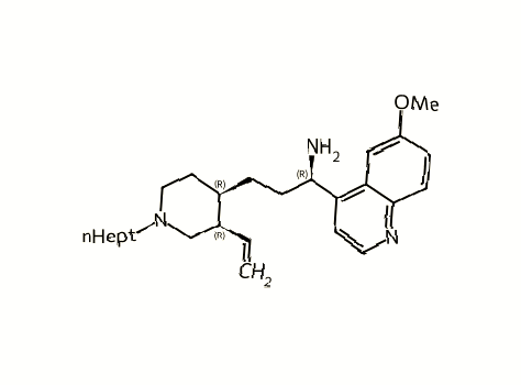 C=C[C@H]1CN(CCCCCCC)CC[C@H]1CC[C@@H](N)c1ccnc2ccc(OC)cc12